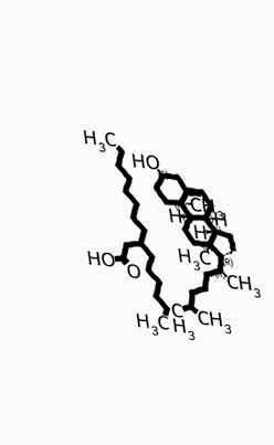 CC(C)CCC[C@@H](C)[C@H]1CC[C@H]2[C@@H]3CC=C4C[C@@H](O)CC[C@]4(C)[C@H]3CC[C@]12C.CCCCCCCCC(CCCCCC)CC(=O)O